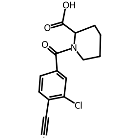 [C]#Cc1ccc(C(=O)N2CCCCC2C(=O)O)cc1Cl